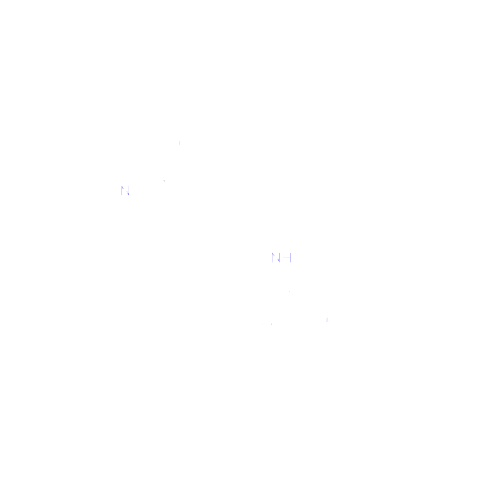 C/C=C/C(=O)Nc1ccc2c(c1)C(=O)N(C)C2